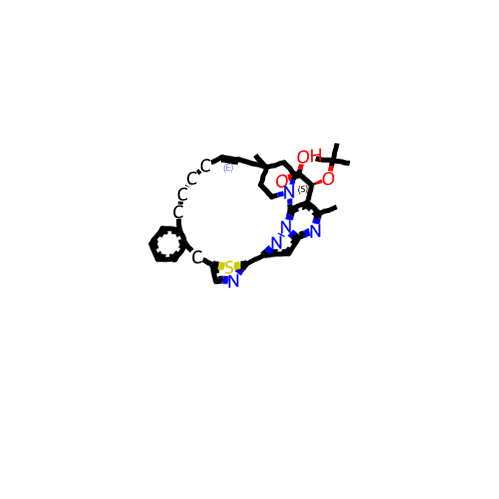 Cc1nc2cc3nn2c(c1[C@H](OC(C)(C)C)C(=O)O)N1CCC(C)(/C=C/CCCCc2ccccc2Cc2cnc-3s2)CC1